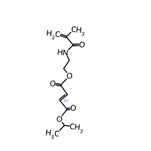 C=C(C)C(=O)NCCOC(=O)/C=C/C(=O)OC(C)C